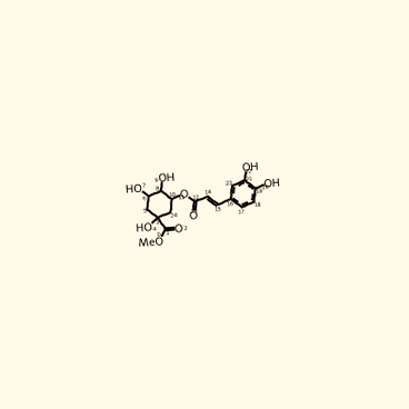 COC(=O)C1(O)CC(O)C(O)C(OC(=O)C=Cc2ccc(O)c(O)c2)C1